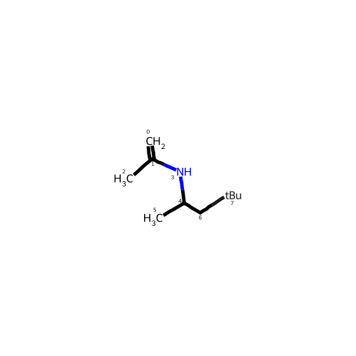 C=C(C)NC(C)CC(C)(C)C